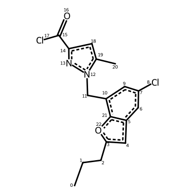 CCCc1cc2cc(Cl)cc(Cn3nc(C(=O)Cl)cc3C)c2o1